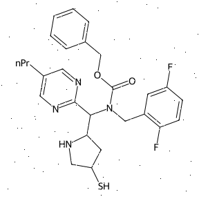 CCCc1cnc(C(C2CC(S)CN2)N(Cc2cc(F)ccc2F)C(=O)OCc2ccccc2)nc1